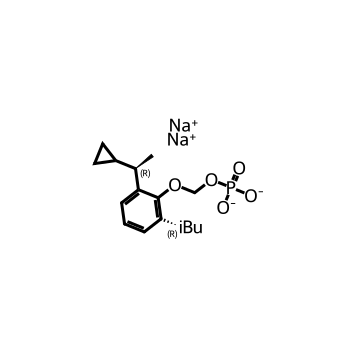 CC[C@@H](C)c1cccc([C@H](C)C2CC2)c1OCOP(=O)([O-])[O-].[Na+].[Na+]